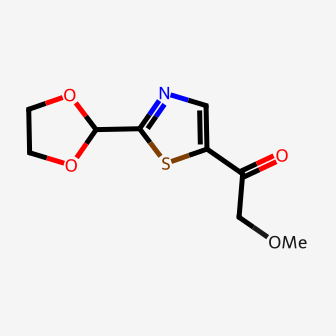 COCC(=O)c1cnc(C2OCCO2)s1